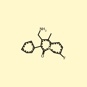 Cc1c(CN)c(-c2ccccc2)c(=O)n2cc(F)ccc12